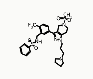 CS(=O)(=O)N1CCc2c(c(-c3ccc(C(F)(F)F)c(CNS(=O)(=O)c4ccccc4)c3)nn2CCCN2CCCC2)C1